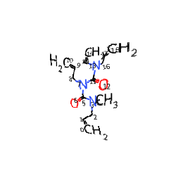 C=CCN(C)C(=O)N(CC=C)C(=O)N(C=C)CC=C